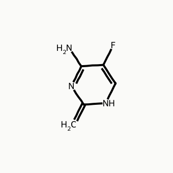 C=C1N=C(N)C(F)=CN1